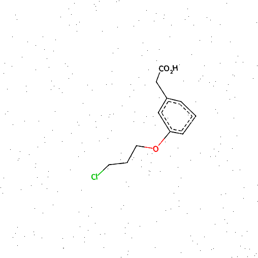 O=C(O)Cc1cccc(OCCCCl)c1